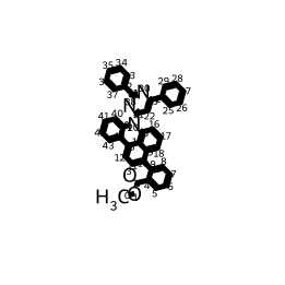 COC(=O)c1ccccc1-c1ccc2c3c(cccc13)N(c1cc(-c3ccccc3)nc(-c3ccccc3)n1)c1ccccc1-2